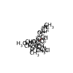 CCOc1cc(C(C)(C)C)ncc1/C(=N/C(C)(C)C1C=CC(Cl)=CC1)N(Cc1ccc(Cl)cc1)C(=O)N1CCC(CC(=O)N2CCCN(C)CC2)CC1